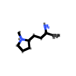 CN1CCCC1CCC(N)C(=O)O